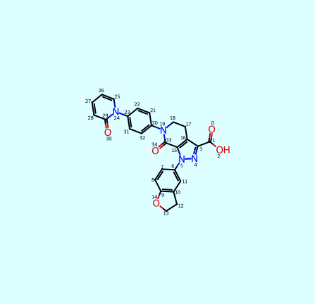 O=C(O)c1nn(-c2ccc3c(c2)CCO3)c2c1CCN(c1ccc(-n3ccccc3=O)cc1)C2=O